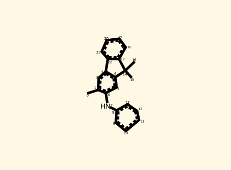 Cc1cc2c(cc1Nc1ccccc1)C(C)(C)c1ccccc1-2